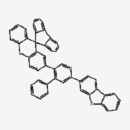 c1ccc(-c2cc(-c3ccc4c(c3)oc3ccccc34)ncc2-c2ccc3c(c2)C2(c4ccccc4S3)c3ccccc3-c3ccccc32)cc1